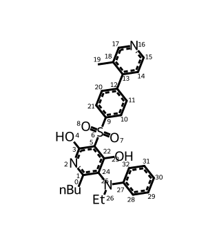 CCCCc1nc(O)c(S(=O)(=O)c2ccc(-c3ccncc3C)cc2)c(O)c1N(CC)c1ccccc1